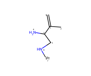 C=C(C)C(N)CNC(C)C